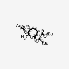 CC(=O)CCO[C@H]1[C@H](C)OC(=O)[C@@H](N(C(=O)OC(C)(C)C)C(=O)OC(C)(C)C)CCC[C@@H]1OCC(C)C